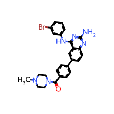 CN1CCN(C(=O)c2ccc(-c3ccc4nc(N)nc(Nc5cccc(Br)c5)c4c3)cc2)CC1